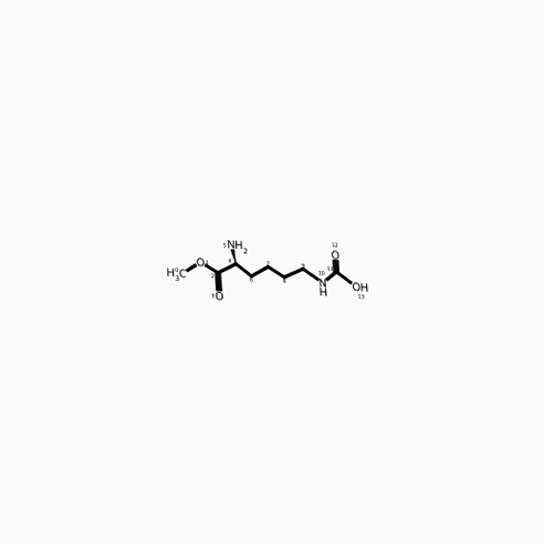 COC(=O)[C@@H](N)CCCCNC(=O)O